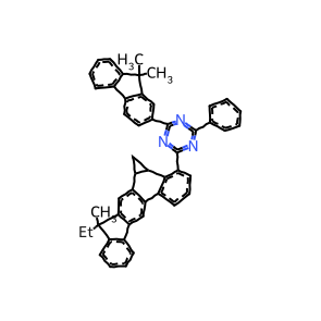 CCC1(C)c2ccccc2-c2cc3c(cc21)C1CC1c1c(-c2nc(-c4ccccc4)nc(-c4ccc5c(c4)C(C)(C)c4ccccc4-5)n2)cccc1-3